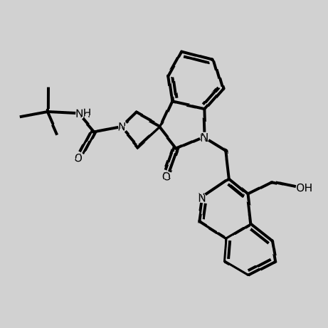 CC(C)(C)NC(=O)N1CC2(C1)C(=O)N(Cc1ncc3ccccc3c1CO)c1ccccc12